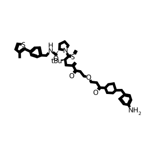 C=S=C([C@@H](CC(=C)C(=O)CCOCCC(=O)C1CCC(Cc2ccc(N)cc2)CC1)C(C)(C)C)N1CCC[C@H]1C(=O)NCc1ccc(-c2sccc2C)cc1